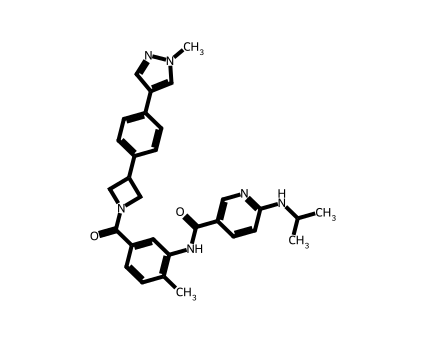 Cc1ccc(C(=O)N2CC(c3ccc(-c4cnn(C)c4)cc3)C2)cc1NC(=O)c1ccc(NC(C)C)nc1